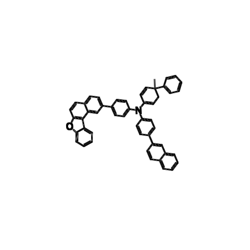 CC1(c2ccccc2)C=CC(N(c2ccc(-c3ccc4ccccc4c3)cc2)c2ccc(-c3ccc4ccc5oc6ccccc6c5c4c3)cc2)=CC1